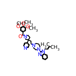 COc1cc(C(=O)N2CCC(CCN3CCCN(c4nc5ccccc5n4CC=C(C)C)CC3)(c3ccncc3)C2)cc(OC)c1OC